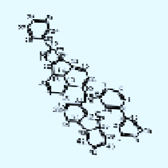 c1ccc(-c2cccc(N(c3ccc4c5c(cccc35)-c3nc(-c5ccccc5)oc3-4)c3cccc4c3sc3ccccc34)c2)cc1